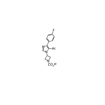 CC(=O)c1c(-c2ccc(F)cc2)ncn1C1CN(C(=O)O)C1